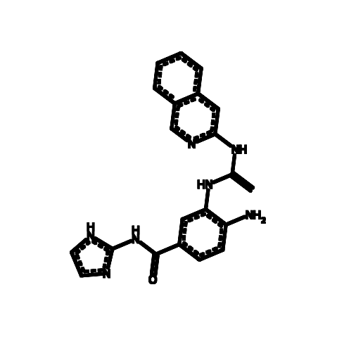 C=C(Nc1cc2ccccc2cn1)Nc1cc(C(=O)Nc2ncc[nH]2)ccc1N